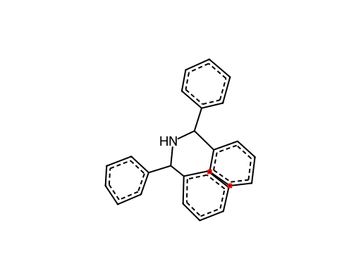 c1ccc(C(NC(c2ccccc2)c2ccccc2)c2ccccc2)cc1